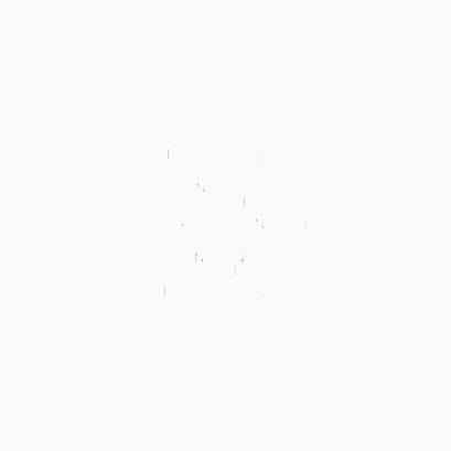 CN1[SiH](Br)N(C)[SiH](Br)N(C)[SiH]1Br